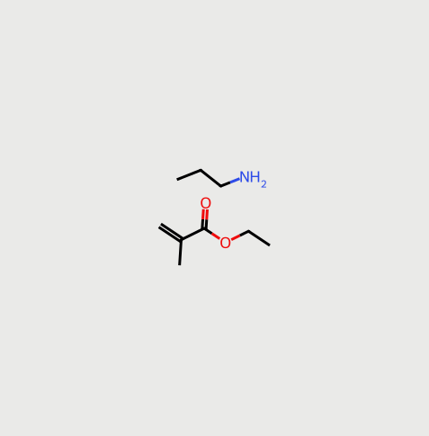 C=C(C)C(=O)OCC.CCCN